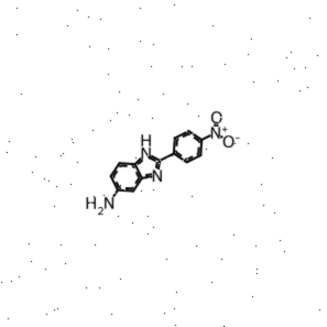 Nc1ccc2[nH]c(-c3ccc([N+](=O)[O-])cc3)nc2c1